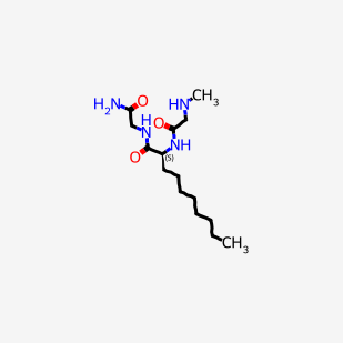 CCCCCCCC[C@H](NC(=O)CNC)C(=O)NCC(N)=O